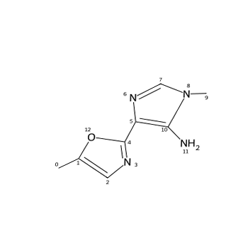 Cc1cnc(-c2ncn(C)c2N)o1